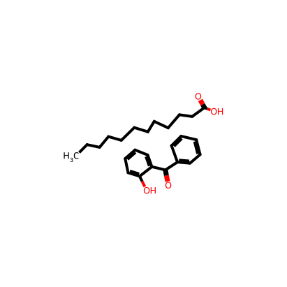 CCCCCCCCCCCC(=O)O.O=C(c1ccccc1)c1ccccc1O